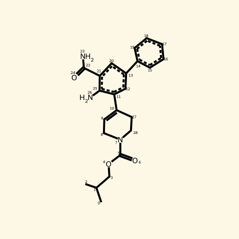 CC(C)COC(=O)N1CC=C(c2cc(-c3ccccc3)cc(C(N)=O)c2N)CC1